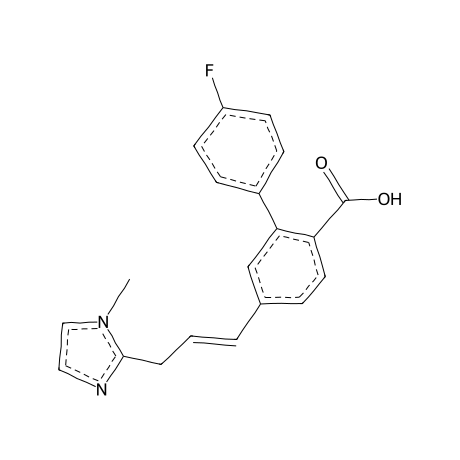 Cn1ccnc1CC=Cc1ccc(C(=O)O)c(-c2ccc(F)cc2)c1